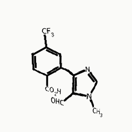 Cn1cnc(-c2cc(C(F)(F)F)ccc2C(=O)O)c1C=O